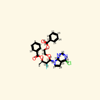 C[C@@H](OC(=O)c1ccccc1)C(F)C(OCCOC(=O)c1ccccc1)n1ccc2c(Cl)ncnc21